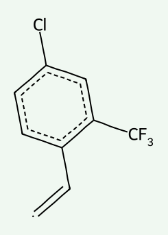 [CH]=Cc1ccc(Cl)cc1C(F)(F)F